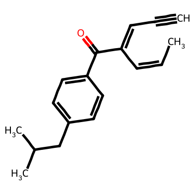 C#C/C=C(\C=C/C)C(=O)c1ccc(CC(C)C)cc1